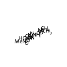 CNC(=O)[C@H]1O[C@@H](n2cnc3c(NCc4cc(I)c5oc(N(C)C)nc5c4)ncnc32)[C@@H](O)C1O